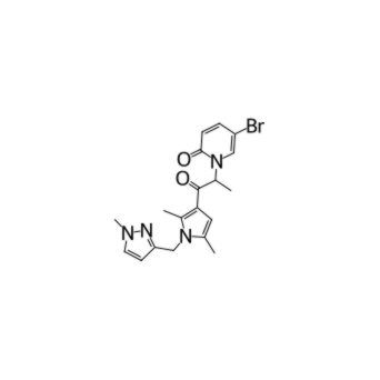 Cc1cc(C(=O)C(C)n2cc(Br)ccc2=O)c(C)n1Cc1ccn(C)n1